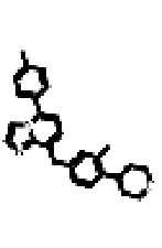 Cc1ccc(-c2ccc(Cc3ccc(C4CCOCC4)c(C)c3)c3nccn23)cc1